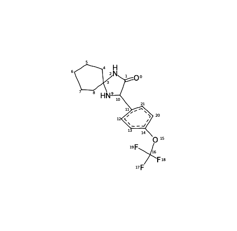 O=C1NC2(CCCCC2)NC1c1ccc(OC(F)(F)F)cc1